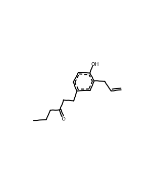 C=CCc1cc(CCC(=O)CCC)ccc1O